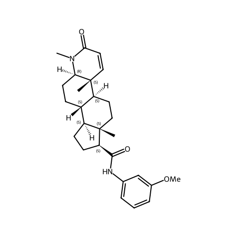 COc1cccc(NC(=O)[C@H]2CC[C@H]3[C@@H]4CC[C@H]5N(C)C(=O)C=C[C@]5(C)[C@H]4CC[C@]23C)c1